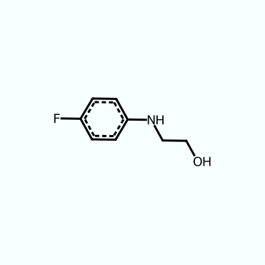 OCCNc1ccc(F)cc1